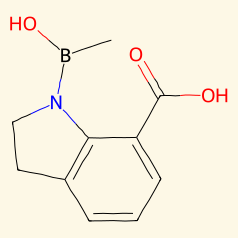 CB(O)N1CCc2cccc(C(=O)O)c21